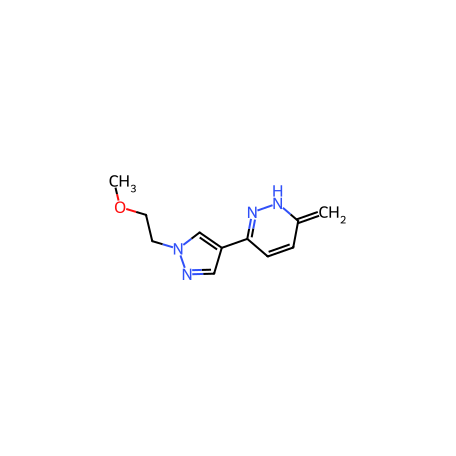 C=C1C=CC(c2cnn(CCOC)c2)=NN1